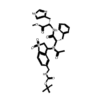 COC(=O)[C@H](Cc1c[nH]cn1)NC(=O)[C@H](Cc1ccccc1)N(C(C)=O)C1CS(=O)(=O)c2ccc(CNC(=O)OC(C)(C)C)cc21